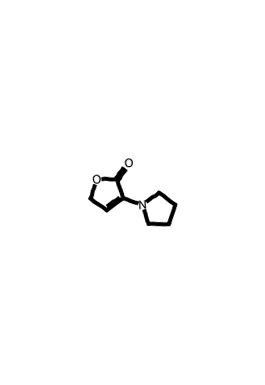 O=C1OCC=C1N1CCCC1